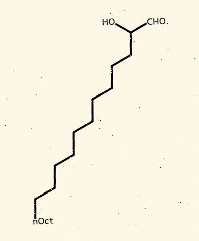 CCCCCCCCCCCCCCCCCCC(O)C=O